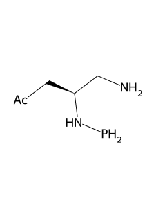 CC(=O)C[C@@H](CN)NP